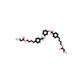 C=CC(=O)OCCCCc1ccc(C(F)(F)Oc2cccc(OC(F)(F)c3ccc(CCCCOC(=O)C=C)cc3)c2)cc1